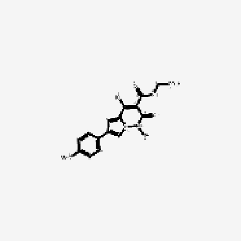 COc1ccc(-c2cc3c(O)c(C(=O)NCC(=O)O)c(=O)n(C(C)C)n3c2)cc1